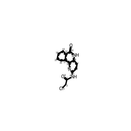 O=C(CCl)Nc1ccc2[nH]c(=O)c3ccccc3c2n1